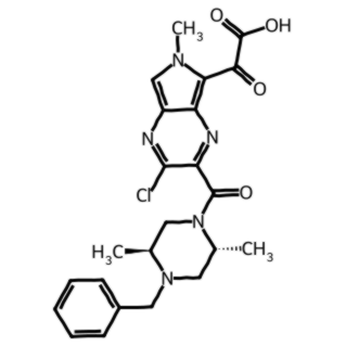 C[C@@H]1CN(Cc2ccccc2)[C@@H](C)CN1C(=O)c1nc2c(C(=O)C(=O)O)n(C)cc2nc1Cl